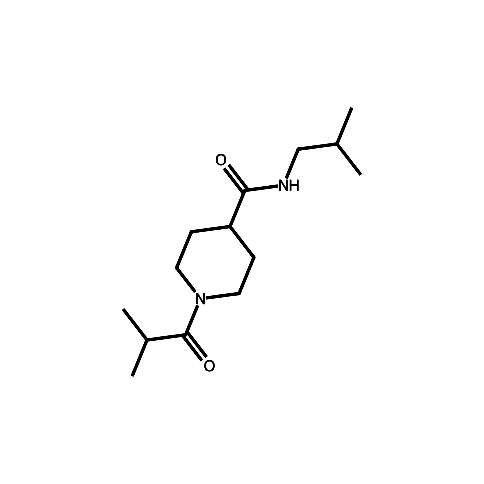 CC(C)CNC(=O)C1CCN(C(=O)C(C)C)CC1